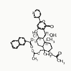 CC(=O)OCC1(C)C2C[C@H](OC(=O)c3ccc4ccccc4c3)[C@@]3(C)Oc4cc(-c5cccnc5)oc(=O)c4[C@H](O)C3[C@@]2(C)CC[C@@H]1OC(C)=O